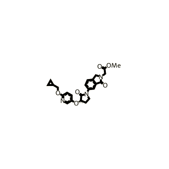 COC(=O)CN1Cc2ccc(N3CC[C@@H](Oc4ccc(OCC5CC5)nc4)C3=O)cc2C1=O